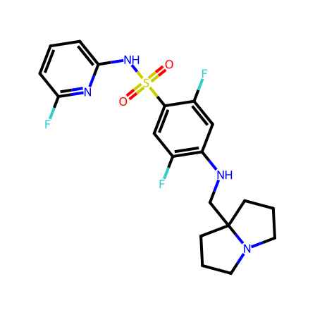 O=S(=O)(Nc1cccc(F)n1)c1cc(F)c(NCC23CCCN2CCC3)cc1F